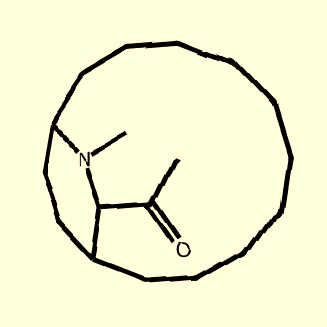 CC(=O)C1C2CCCCCCCCCCC(CC2)N1C